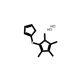 CC1=C(C)C(C)[C]([Ti][C]2=CC=CC2)=C1C.Cl.Cl